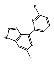 Fc1cccc(-c2nc(Cl)cc3[nH]ncc23)n1